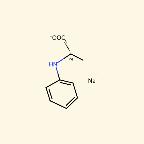 C[C@H](Nc1ccccc1)C(=O)[O-].[Na+]